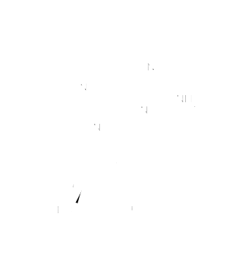 CCC1OC(n2cnc3c(Cl)nc(N)nc32)[C@](C)(F)[C@@H]1C